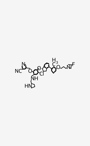 Cc1c(OCCCN2CC(F)C2)cccc1-c1cccc2c1CC[C@@H]2Oc1cc(OCc2cncc(C#N)c2)c(CNCC2CCCN2)cc1Cl